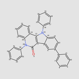 O=c1c2c3cc(-c4ccccc4)ccc3n(-c3ccccc3)c2c2ccccc2n1-c1ccccc1